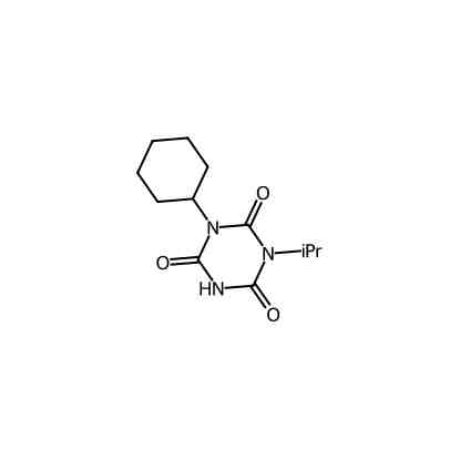 CC(C)n1c(=O)[nH]c(=O)n(C2CCCCC2)c1=O